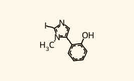 Cn1c(-c2ccccc2O)cnc1I